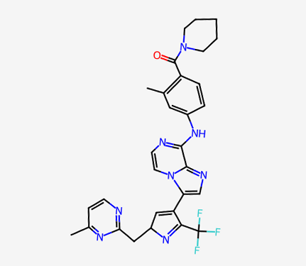 Cc1ccnc(CC2C=C(c3cnc4c(Nc5ccc(C(=O)N6CCCCC6)c(C)c5)nccn34)C(C(F)(F)F)=N2)n1